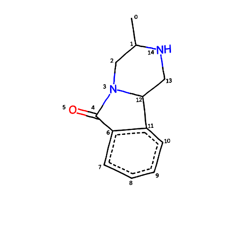 CC1CN2C(=O)c3ccccc3C2CN1